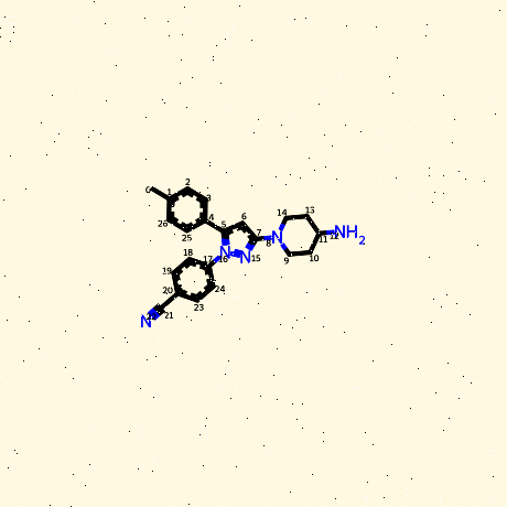 Cc1ccc(-c2cc(N3CCC(N)CC3)nn2-c2ccc(C#N)cc2)cc1